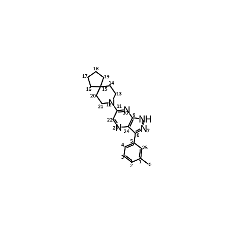 Cc1cccc(-c2n[nH]c3nc(N4CCC5(CCCC5)CC4)cnc23)c1